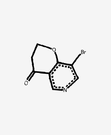 O=C1CCOc2c(Br)cncc21